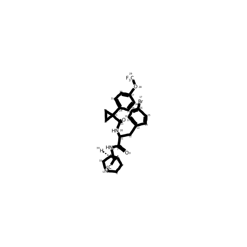 O=C(N[C@@H]1CN2CCC1CC2)C(Cc1ccc(Br)cc1)NC(=O)C1(c2ccc(OC(F)(F)F)cc2)CC1